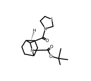 CC(C)(C)OC(=O)N1C2CCC(CC2)[C@H]1C(=O)N1CCSC1